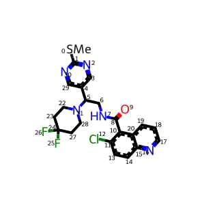 CSc1ncc(C(CNC(=O)c2c(Cl)ccc3ncccc23)N2CCC(F)(F)CC2)cn1